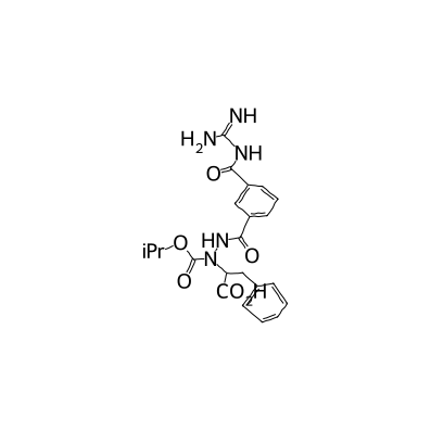 CC(C)OC(=O)N(NC(=O)c1cccc(C(=O)NC(=N)N)c1)C(Cc1ccccc1)C(=O)O